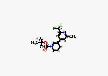 Cc1cc(C2=CN(C(=O)OC(C)(C)C)CCC2)cc(C(F)F)n1